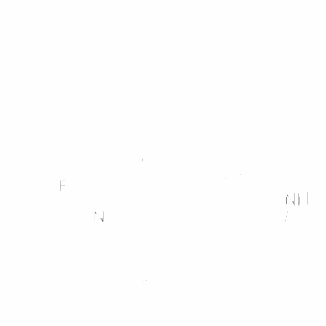 Fc1ccc(Oc2ncccc2C2CCNCC2)c(F)c1